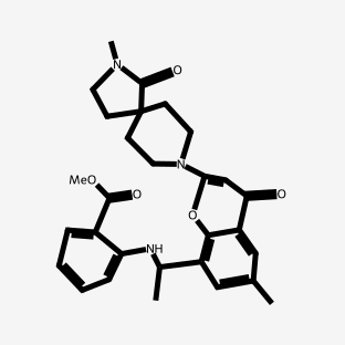 COC(=O)c1ccccc1NC(C)c1cc(C)cc2c(=O)cc(N3CCC4(CCN(C)C4=O)CC3)oc12